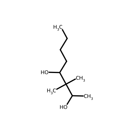 CCCCC(O)C(C)(C)C(C)O